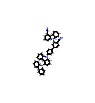 N#Cc1ccc(-c2ccc(-n3c4ccccc4c4c(-n5c6ccccc6c6ccccc65)cccc43)cc2)cc1-n1c2ccccc2c2c(C#N)cccc21